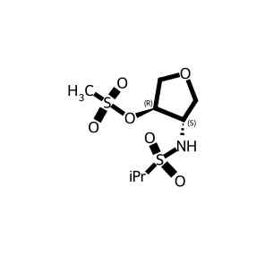 CC(C)S(=O)(=O)N[C@H]1COC[C@@H]1OS(C)(=O)=O